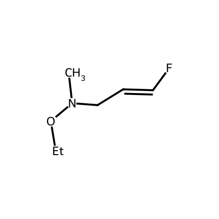 CCON(C)CC=CF